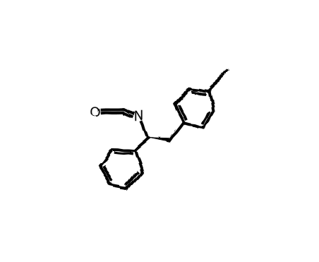 Cc1ccc(C[C@H](N=C=O)c2ccccc2)cc1